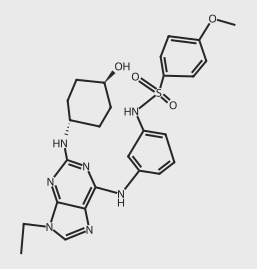 CCn1cnc2c(Nc3cccc(NS(=O)(=O)c4ccc(OC)cc4)c3)nc(N[C@H]3CC[C@H](O)CC3)nc21